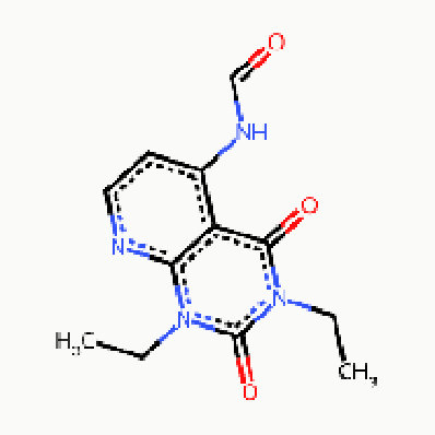 CCn1c(=O)c2c(NC=O)ccnc2n(CC)c1=O